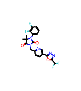 CC1(C)C(=O)N(Cc2ccc(-c3nnc(C(F)F)o3)cn2)C(=O)N1c1cccc(F)c1F